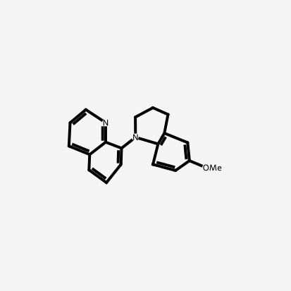 COc1ccc2c(c1)CCCN2c1cccc2cccnc12